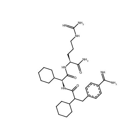 N=C(N)NCCC[C@H](NC(=O)[C@@H](NC(=O)C(Cc1ccc(C(=N)N)cc1)C1CCCCC1)C1CCCCC1)C(N)=O